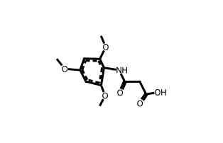 COc1cc(OC)c(NC(=O)CC(=O)O)c(OC)c1